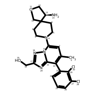 Cc1cc(N2CCC3(CC2)COC[C@H]3N)n2nc(CO)nc2c1-c1cccc(Cl)c1Cl